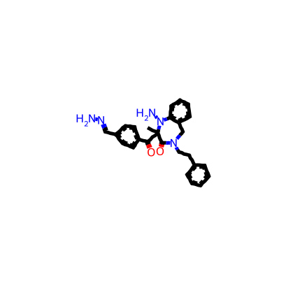 CC1(C(=O)c2ccc(C=NN)cc2)C(=O)N(CCc2ccccc2)Cc2ccccc2N1N